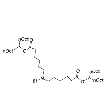 CCCCCCCCC(CCCCCCCC)OC(=O)CCCCCN(CC)CCCCCC(=O)OC(CCCCCCCC)CCCCCCCC